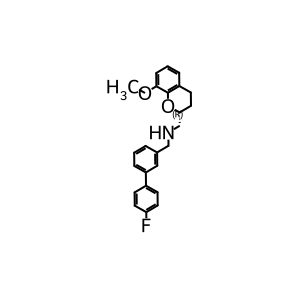 COc1cccc2c1O[C@@H](CNCc1cccc(-c3ccc(F)cc3)c1)CC2